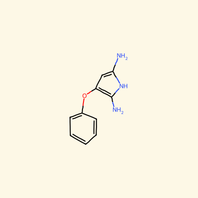 Nc1cc(Oc2ccccc2)c(N)[nH]1